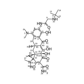 CN(C)c1cc(NC(=O)CNC(C)(C)C)c(O)c2c1C[C@H]1C[C@@H]3[C@@](O)(C(=O)C(C(N)=O)=C(O)[C@]3(C)N(C)C)C(O)=C1C2=O